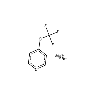 FC(F)(F)Oc1cc[c-]cc1.[Br-].[Mg+2]